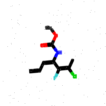 C=C/C=C(NC(=O)OC(C)(C)C)\C(F)=C(/C)Cl